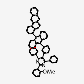 COc1ccccc1-c1nc(-c2ccccc2)c(-c2cccc(-c3c4ccccc4c(-c4cccc5c4ccc4cc6ccccc6cc45)c4ccccc34)c2)c(-c2ccccc2)n1